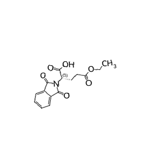 CCOC(=O)CC[C@@H](C(=O)O)N1C(=O)c2ccccc2C1=O